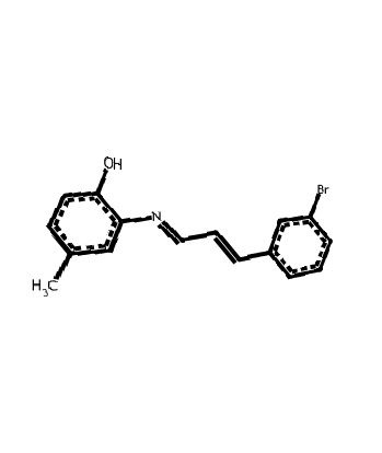 Cc1ccc(O)c(N=CC=Cc2cccc(Br)c2)c1